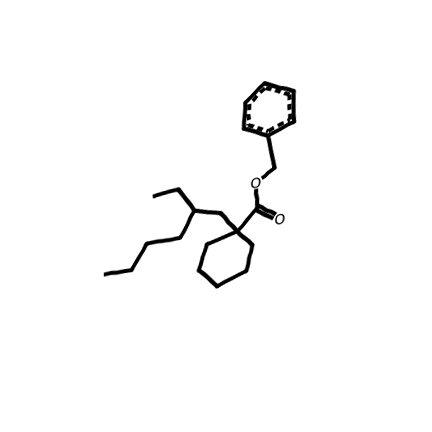 CCCCC(CC)CC1(C(=O)OCc2ccccc2)CCCCC1